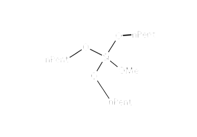 CCCCCO[Si](OC)(OCCCCC)OCCCCC